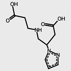 O=C(O)CCNCC(CC(=O)O)n1cccn1